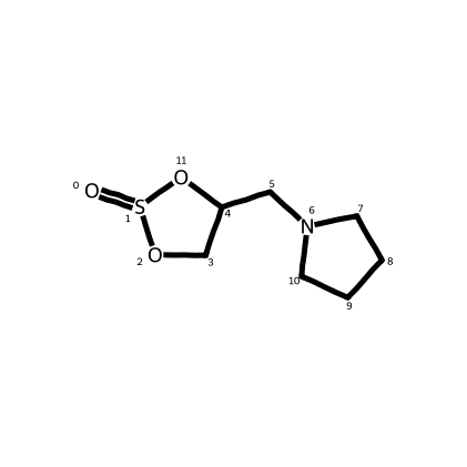 O=S1OCC(CN2CCCC2)O1